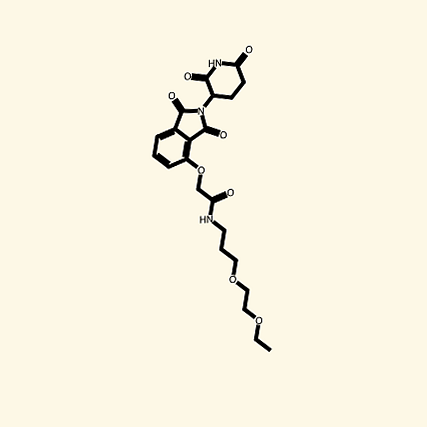 CCOCCOCCCNC(=O)COc1cccc2c1C(=O)N(C1CCC(=O)NC1=O)C2=O